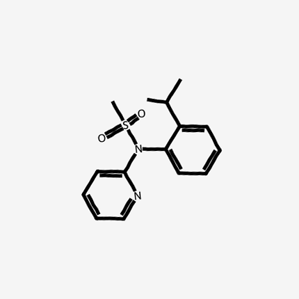 CC(C)c1ccccc1N(c1ccccn1)S(C)(=O)=O